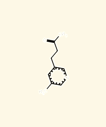 CC(=O)CCc1cncc(C)c1